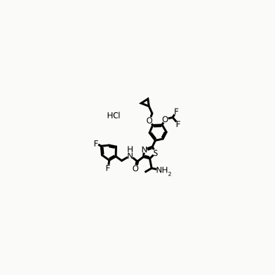 CC(N)c1sc(-c2ccc(OC(F)F)c(OCC3CC3)c2)nc1C(=O)NCc1ccc(F)cc1F.Cl